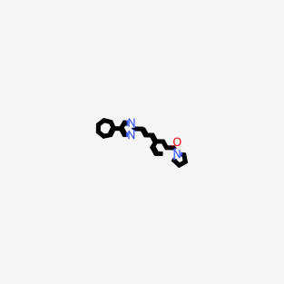 C\C=C/C(=C\C=C\c1ncc(C2=CCCCCC2)cn1)CCC(=O)N1CCCC1